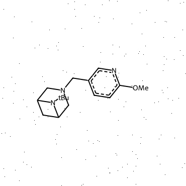 COc1ccc(CN2CC3CC(C2)N3C(C)(C)C)cn1